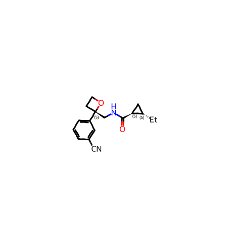 CC[C@H]1C[C@@H]1C(=O)NC[C@@]1(c2cccc(C#N)c2)CCO1